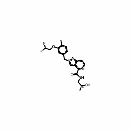 Cc1ccc(Cn2cc3c(C(=O)NC[C@H](C)O)nccc3n2)cc1OCC(F)F